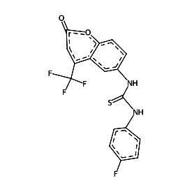 O=c1cc(C(F)(F)F)c2cc(NC(=S)Nc3ccc(F)cc3)ccc2o1